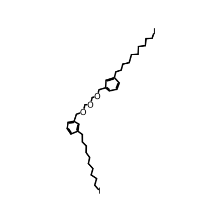 ICCCCCCCCCCc1cccc(COCOCOCc2cccc(CCCCCCCCCCI)c2)c1